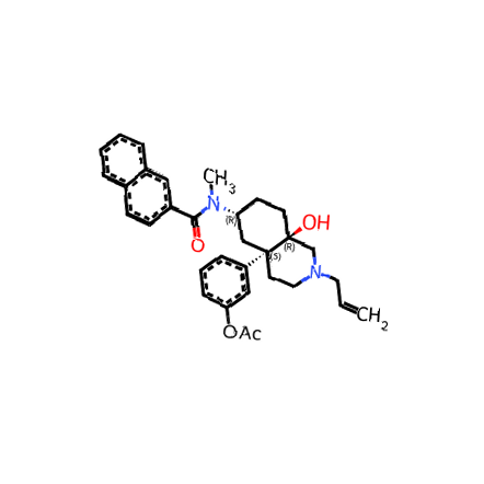 C=CCN1CC[C@@]2(c3cccc(OC(C)=O)c3)C[C@H](N(C)C(=O)c3ccc4ccccc4c3)CC[C@]2(O)C1